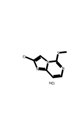 CSc1nccc2nc(Cl)cn12.Cl